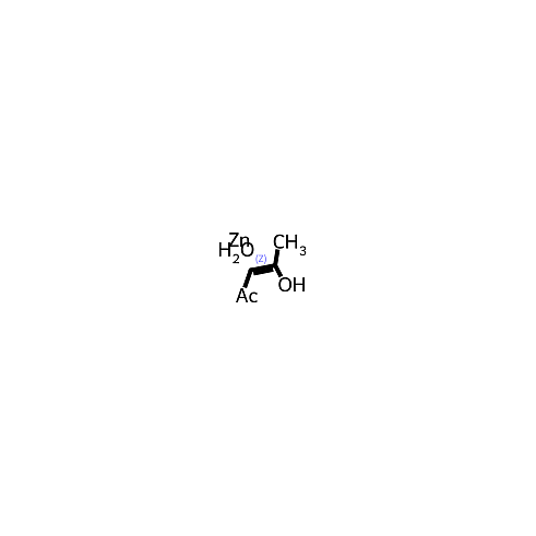 CC(=O)/C=C(/C)O.O.[Zn]